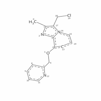 Cc1nc2c(OCc3ccccn3)cccn2c1CCl